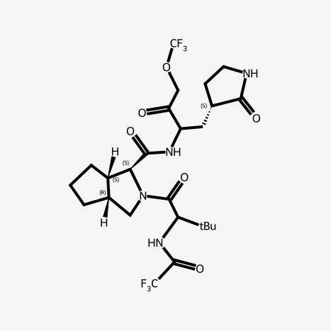 CC(C)(C)C(NC(=O)C(F)(F)F)C(=O)N1C[C@@H]2CCC[C@@H]2[C@H]1C(=O)NC(C[C@@H]1CCNC1=O)C(=O)COC(F)(F)F